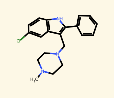 CN1CCN(Cc2c(-c3ccccc3)[nH]c3ccc(Cl)cc23)CC1